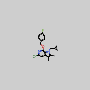 Cc1c(C)n(CC2CC2)c2c(OCc3ccc(F)cc3)nc(Cl)cc12